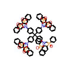 O=P(CN(CP(=O)(c1ccccc1)c1ccccc1)c1ccc(C(c2ccc(N(CP(=O)(c3ccccc3)c3ccccc3)CP(=O)(c3ccccc3)c3ccccc3)cc2)(c2ccc(N(CP(=O)(c3ccccc3)c3ccccc3)CP(=O)(c3ccccc3)c3ccccc3)cc2)c2ccc(N(CP(=O)(c3ccccc3)c3ccccc3)CP(=O)(c3ccccc3)c3ccccc3)cc2)cc1)(c1ccccc1)c1ccccc1